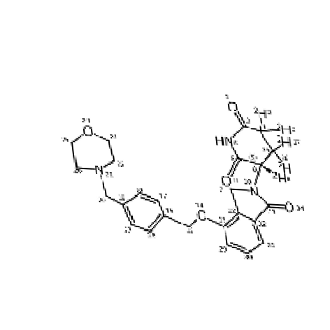 [2H]C1([2H])C(=O)NC(=O)[C@@]([2H])(N2Cc3c(OCc4ccc(CN5CCOCC5)cc4)cccc3C2=O)C1([2H])[2H]